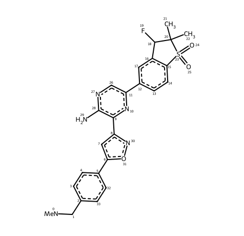 CNCc1ccc(-c2cc(-c3nc(-c4ccc5c(c4)C(F)C(C)(C)S5(=O)=O)cnc3N)no2)cc1